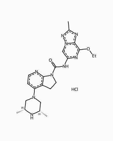 CCOc1nc(NC(=O)N2CCc3c(N4C[C@@H](C)N[C@@H](C)C4)ccnc32)cn2nc(C)nc12.Cl